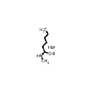 Br.CCCCCC(O)NC